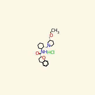 CCOC[C@@H]1CCCN(C[C@H]2CCCC[C@@H]2NC(=O)[C@H]2CCc3ccccc3O2)C1.Cl